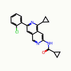 O=C(Nc1cc2c(C3CC3)nc(-c3ccccc3Cl)cc2cn1)C1CC1